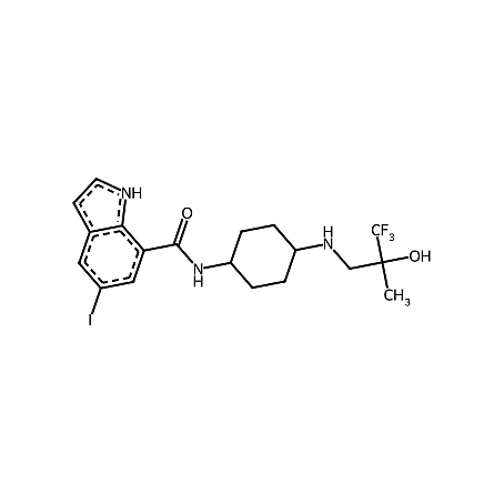 CC(O)(CNC1CCC(NC(=O)c2cc(I)cc3cc[nH]c23)CC1)C(F)(F)F